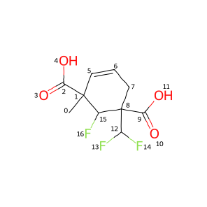 CC1(C(=O)O)C=CCC(C(=O)O)(C(F)F)C1F